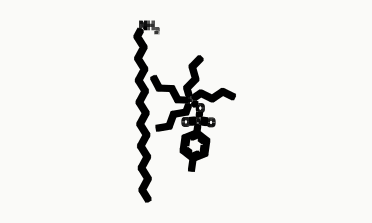 CCCCCCCCCCCCCCCCN.CCCCP(CCCC)(CCCC)(CCCC)OS(=O)(=O)c1ccc(C)cc1